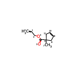 C=CCOC(=O)C1(C)CC=CC1